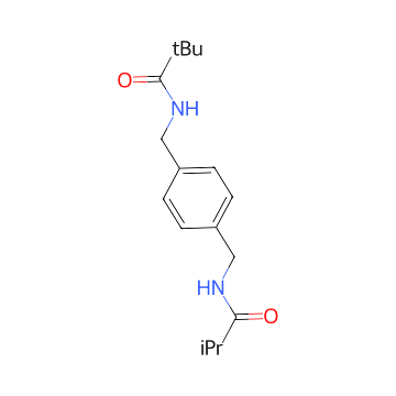 CC(C)C(=O)NCc1ccc(CNC(=O)C(C)(C)C)cc1